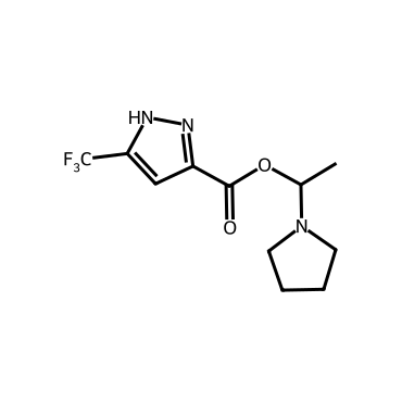 CC(OC(=O)c1cc(C(F)(F)F)[nH]n1)N1CCCC1